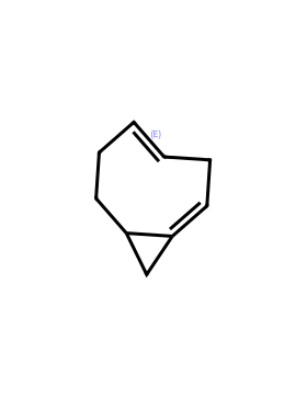 C1=C2CC2CC/C=C/C1